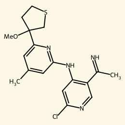 COC1(c2cc(C)cc(Nc3cc(Cl)ncc3C(C)=N)n2)CCSC1